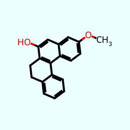 COc1ccc2c3c(c(O)cc2c1)CCc1ccccc1-3